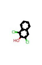 Oc1c(Cl)cc2ccccc2c1Cl